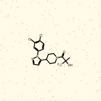 CC(O)(C(=O)N1CCC(c2ccnn2-c2ccc(Cl)c(Cl)c2)CC1)C(F)(F)F